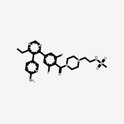 CCc1ncnc(-c2cc(F)c(C(=O)N3CCN(CCNS(C)(=O)=O)CC3)c(F)c2)c1-c1ccc(N)nc1